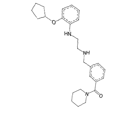 O=C(c1cccc(CNCCNc2ccccc2OC2CCCC2)c1)N1CCCCC1